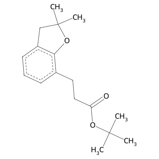 CC(C)(C)OC(=O)CCc1cccc2c1OC(C)(C)C2